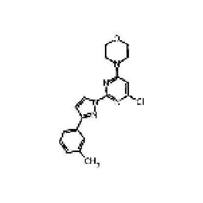 Cc1cccc(-c2ccn(-c3nc(Cl)cc(N4CCOCC4)n3)n2)c1